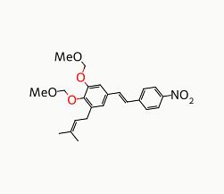 COCOc1cc(C=Cc2ccc([N+](=O)[O-])cc2)cc(CC=C(C)C)c1OCOC